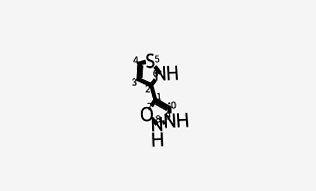 [C]1=C(C2C=CSN2)ONN1